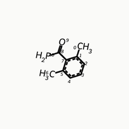 Cc1cccc(C)c1C(=O)P